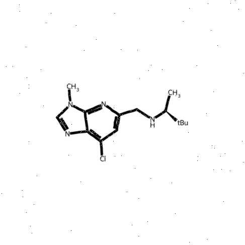 C[C@H](NCc1cc(Cl)c2ncn(C)c2n1)C(C)(C)C